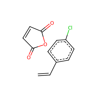 C=Cc1ccc(Cl)cc1.O=C1C=CC(=O)O1